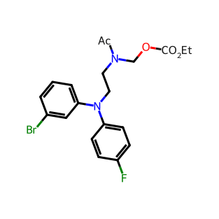 CCOC(=O)OCN(CCN(c1ccc(F)cc1)c1cccc(Br)c1)C(C)=O